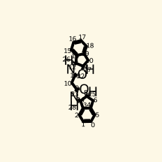 c1ccc2c(c1)C[C@H]1OC(CC3=N[C@@H]4c5ccccc5C[C@H]4O3)=N[C@H]21